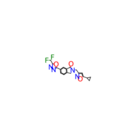 O=C1c2cc(-c3nnc(C(F)F)o3)ccc2CN1Cc1cc(C2CC2)on1